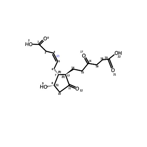 O=C(O)C/C=C\C[C@H]1[C@@H](O)CC(=O)[C@@H]1CCC(=O)CCC(=O)O